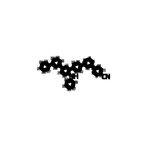 N#Cc1ccc(-c2cccc(-c3ccc(-c4cc(-c5cccc(-c6ccccc6)c5)ccc4Nc4ccccc4)cc3)c2)cc1